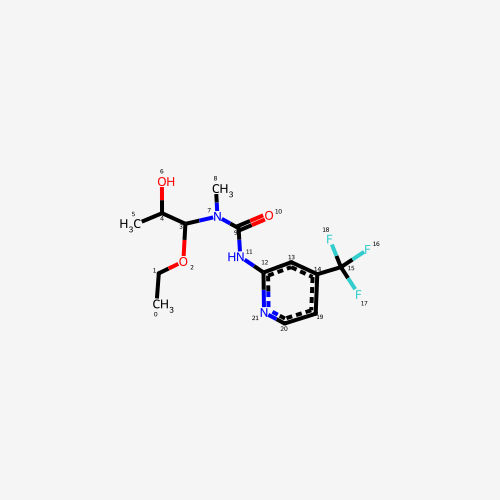 CCOC(C(C)O)N(C)C(=O)Nc1cc(C(F)(F)F)ccn1